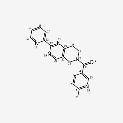 Cc1ccc(C(=O)N2CCc3nc(-c4ccccn4)ncc3C2)cn1